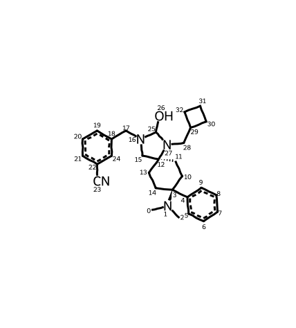 CN(C)[C@]1(c2ccccc2)CC[C@]2(CC1)CN(Cc1cccc(C#N)c1)C(O)N2CC1CCC1